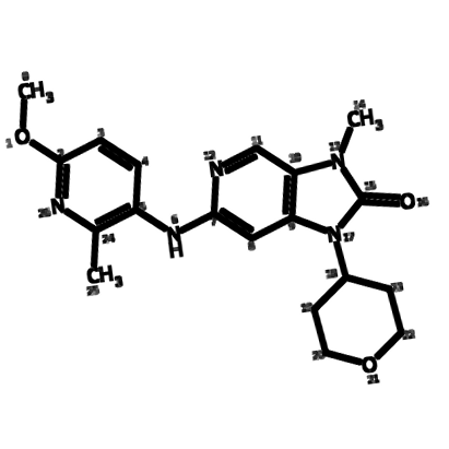 COc1ccc(Nc2cc3c(cn2)n(C)c(=O)n3C2CCOCC2)c(C)n1